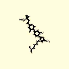 Cc1cc(OCC2(C(=O)O)CC2)ncc1-c1ccc(-c2nc(C(F)(F)F)cn2COCC[SiH](C)C)c(Cl)c1